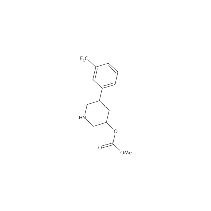 COC(=O)OC1CNCC(c2cccc(C(F)(F)F)c2)C1